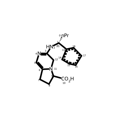 CCC[C@@H](NC1=NC=C2CCC(C(=O)O)N2C1)c1ccccc1